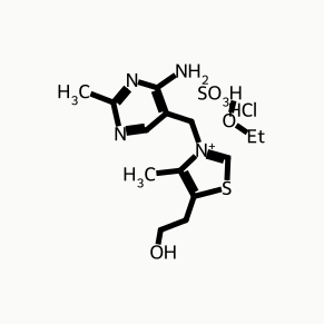 CCOS(=O)(=O)O.Cc1ncc(C[n+]2csc(CCO)c2C)c(N)n1.Cl